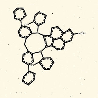 CC(C)c1ccccc1N1c2cc(-c3ccccc3)ccc2Cc2ccc(-c3ccccc3)cc2N(c2ccccc2C(C)C)c2cc1c1ccc3cc(C(C)(C)C)cc4ccc2c1c34